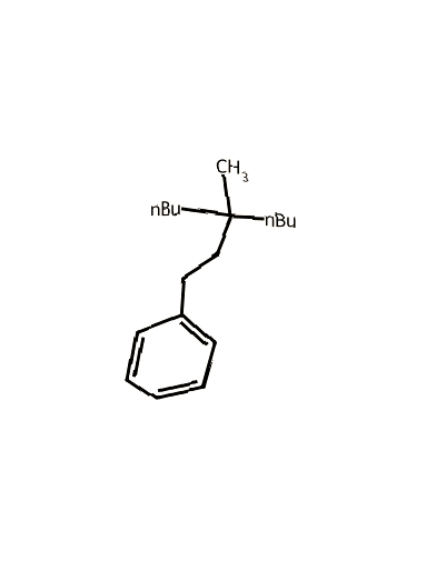 CCCCC(C)(CCCC)CCc1ccccc1